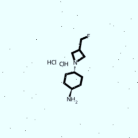 Cl.Cl.N[C@H]1CC[C@H](N2CC(CF)C2)CC1